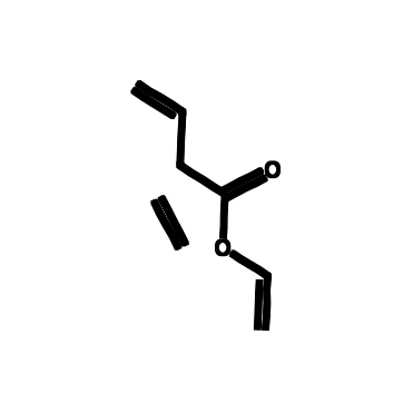 C=C.C=CCC(=O)OC=C